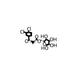 O=C(OC[C@H]1O[C@H](O)[C@H](O)[C@@H](O)[C@H]1O)[C@H]1C[C@@H]1C(=O)c1ccc(Cl)c(Cl)c1